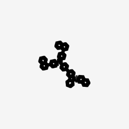 C1=CC2c3cc(-c4ccc(N(c5ccc(-c6cccc7ccccc67)cc5)c5ccc(-c6cccc7ccccc67)cc5)cc4)ccc3N(c3ccc4ccccc4c3)C2C=C1